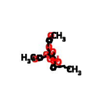 CCCCC#Cc1ccccc1C(=O)OCC1=COC(COCc2ccc(OC)cc2)C(OCc2ccc(OC)cc2)C1O